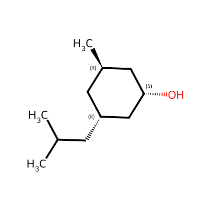 CC(C)C[C@@H]1C[C@@H](C)C[C@H](O)C1